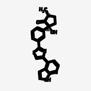 CN1CC[C@@](O)(c2cccc(-c3nc(-c4ccnc5[nH]ccc45)cs3)c2)C1=O